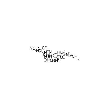 CCc1cc(Nc2nccn3c(-c4cn(CC#N)nc4C(F)(F)F)cnc23)ccc1C(=O)N[C@H](C)C(=O)N1CC[C@H](N)C1.O=CO